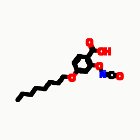 CCCCCCCCOc1ccc(C(=O)O)c(ON=C=O)c1